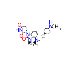 CN[C@H]1CCC2(CC1)C[C@@H](CN(C)c1cccc3c1n(C)c(=O)n3C1CCC(=O)NC1=O)C2